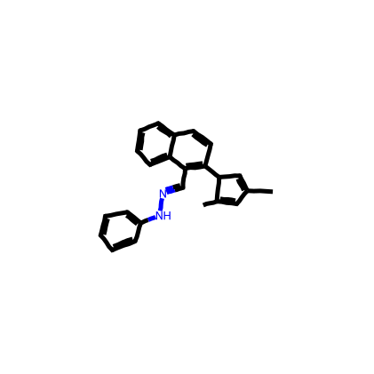 CC1=CC(c2ccc3ccccc3c2C=NNc2ccccc2)C(C)=C1